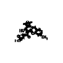 Cc1cnc(Cn2c3c(c(O)c(C(=O)NCC(=O)O)c2=O)COC3)cn1